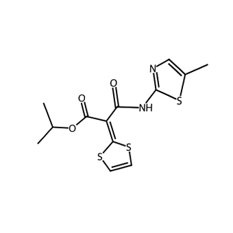 Cc1cnc(NC(=O)C(C(=O)OC(C)C)=C2SC=CS2)s1